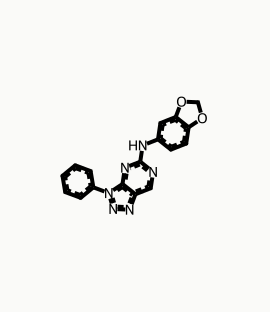 c1ccc(-n2nnc3cnc(Nc4ccc5c(c4)OCO5)nc32)cc1